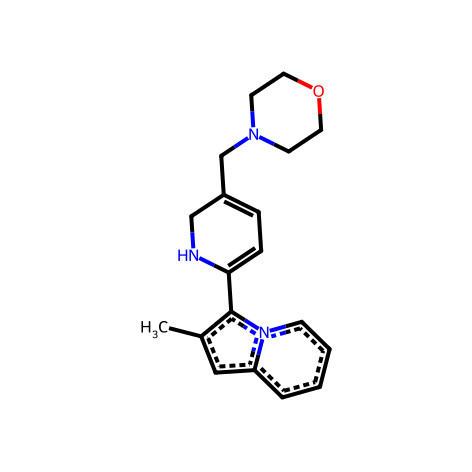 Cc1cc2ccccn2c1C1=CC=C(CN2CCOCC2)CN1